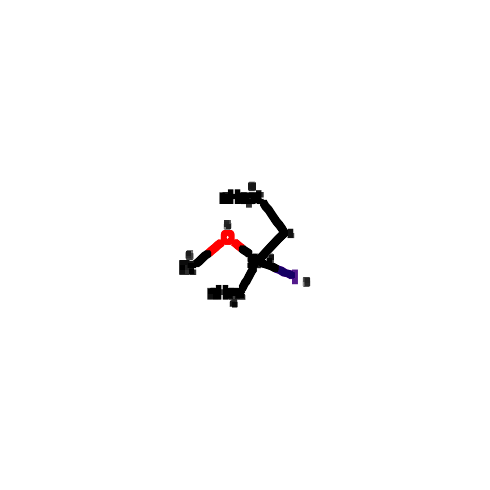 CCCCCCCC[Si](I)(CCCCCC)OCC